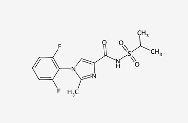 Cc1nc(C(=O)NS(=O)(=O)C(C)C)cn1-c1c(F)cccc1F